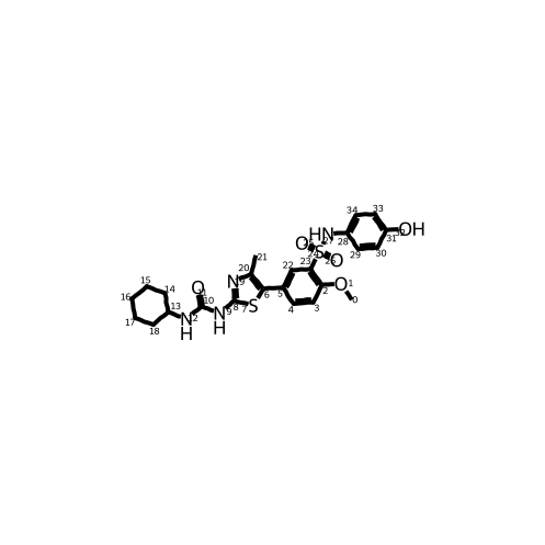 COc1ccc(-c2sc(NC(=O)NC3CCCCC3)nc2C)cc1S(=O)(=O)Nc1ccc(O)cc1